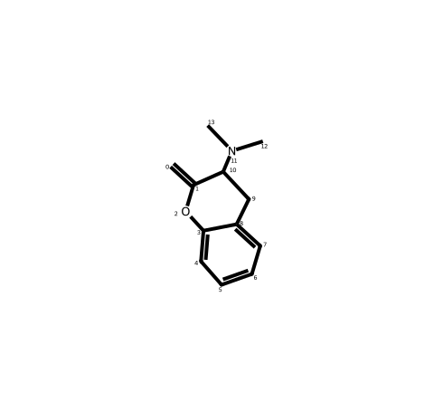 C=C1Oc2ccccc2CC1N(C)C